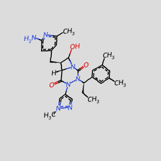 CC[C@H](c1cc(C)cc(C)c1)N1C(=O)N2C(O)[C@H](Cc3cc(C)nc(N)c3)[C@H]2C(=O)N1c1cnn(C)c1